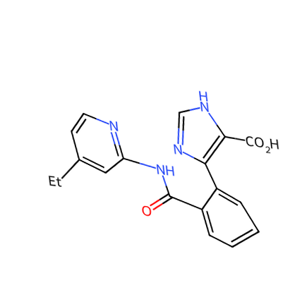 CCc1ccnc(NC(=O)c2ccccc2-c2nc[nH]c2C(=O)O)c1